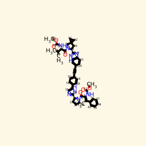 COC(=O)N/C(C(=O)N1CCC[C@H]1c1ncc(-c2ccc(C#Cc3ccc4nc([C@@H]5CC6(CC6)CN5C(=O)[C@@H](NC(=O)OC)C(C)C)[nH]c4c3)cc2)[nH]1)=C(/C)c1ccccc1